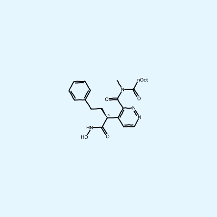 CCCCCCCCC(=O)N(C)C(=O)c1nnccc1[C@H](CCc1ccccc1)C(=O)NO